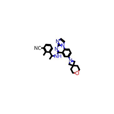 Cc1c(C#N)cccc1C(C)Nc1nc2nccn2c2ccc(N3CC4(CCOCC4)C3)cc12